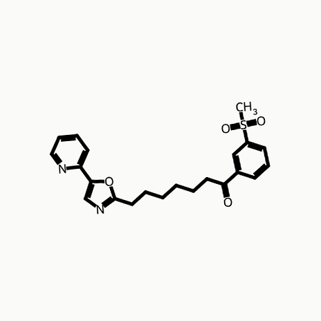 CS(=O)(=O)c1cccc(C(=O)CCCCCCc2ncc(-c3ccccn3)o2)c1